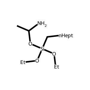 CCCCCCCC[Si](OCC)(OCC)OC(C)N